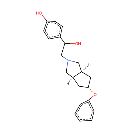 Oc1ccc(C(O)CN2C[C@H]3C[C@H](Oc4ccccc4)C[C@H]3C2)cc1